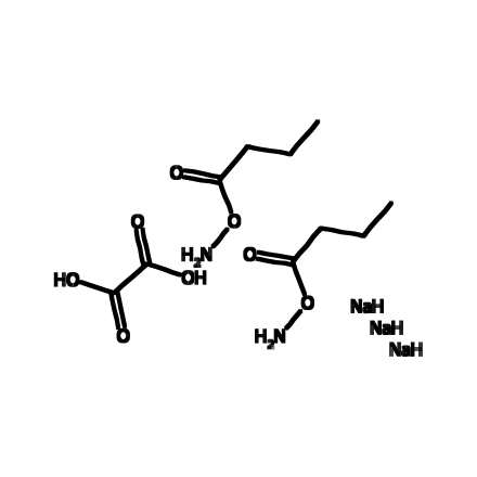 CCCC(=O)ON.CCCC(=O)ON.O=C(O)C(=O)O.[NaH].[NaH].[NaH]